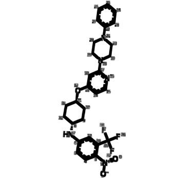 O=[N+]([O-])c1ccc(N[C@H]2CC[C@H](Oc3ccnc(N4CCN(c5ccccc5)CC4)c3)CC2)cc1C(F)(F)F